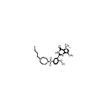 CCCc1cn(C)c2c(=O)[nH]c(-c3cc(S(=O)(=O)N4CCCN(CCCF)CC4)ccc3OCC)nc12